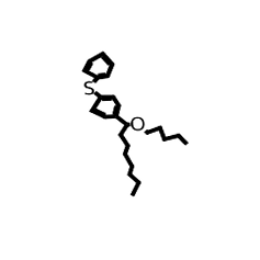 CCCCCCCC(OCCCCC)c1ccc(Sc2ccccc2)cc1